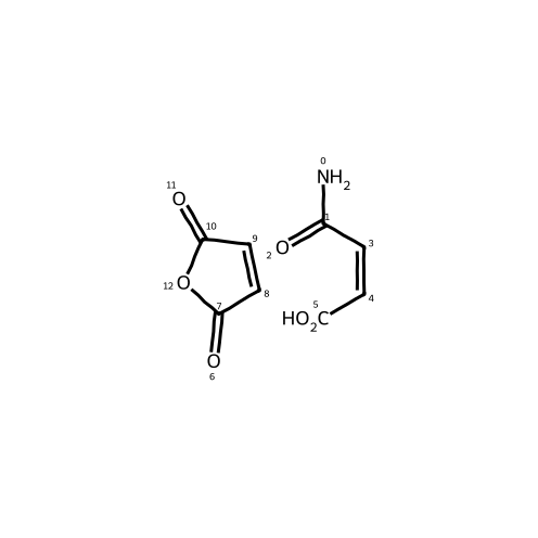 NC(=O)/C=C\C(=O)O.O=C1C=CC(=O)O1